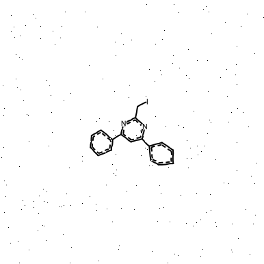 ICc1nc(-c2ccccc2)cc(-c2ccccc2)n1